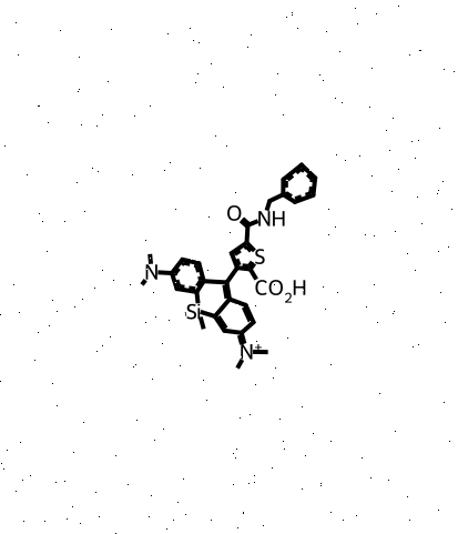 CN(C)c1ccc2c(c1)[Si](C)(C)C1=CC(=[N+](C)C)C=CC1=C2c1cc(C(=O)NCc2ccccc2)sc1C(=O)O